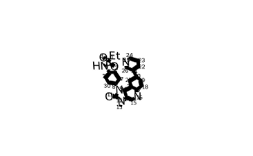 CCS(=O)(=O)Nc1ccc(-n2c(=O)n(C)c3cnc4ccc(-c5cccnc5)cc4c32)cc1